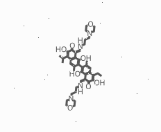 CCC1=C(O)C(=O)/C(=C\NCCCN2CCOCC2)c2c1cc(C)c(-c1c(C)cc3c(c1O)/C(=C/NCCCN1CCOCC1)C(=O)C(O)=C3C(C)C)c2O